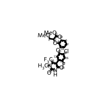 COCC(Oc1ccccc1Oc1cc(-c2c(C(F)(F)F)n(C)c(=O)[nH]c2=O)c(F)cc1Cl)C(=O)OC